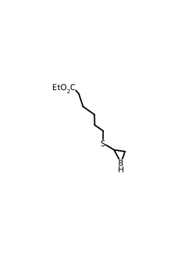 CCOC(=O)CCCCCSC1BC1